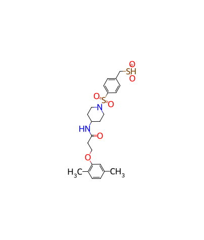 Cc1ccc(C)c(OCCC(=O)NC2CCN(S(=O)(=O)c3ccc(C[SH](=O)=O)cc3)CC2)c1